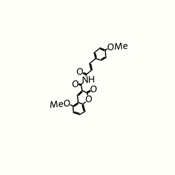 COc1ccc(C=CC(=O)NC(=O)c2cc3c(OC)cccc3oc2=O)cc1